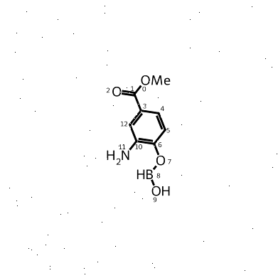 COC(=O)c1ccc(OBO)c(N)c1